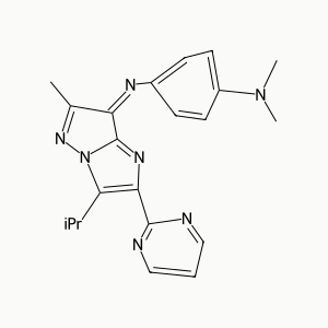 CC1=Nn2c(nc(-c3ncccn3)c2C(C)C)/C1=N\c1ccc(N(C)C)cc1